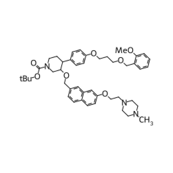 COc1ccccc1COCCCOc1ccc(C2CCN(C(=O)OC(C)(C)C)CC2OCc2ccc3ccc(OCCN4CCN(C)CC4)cc3c2)cc1